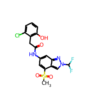 CS(=O)(=O)c1cc(NC(=O)Cc2c(O)cccc2Cl)cc2nn(C(F)F)cc12